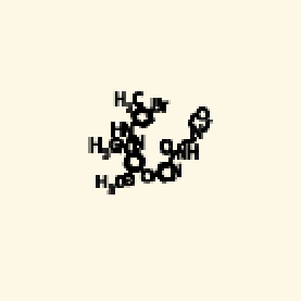 COc1cc2c(cc1Oc1ccnc(C(=O)NCCN3CCOCC3)c1)nc(Nc1ccc(Br)c(C)c1)n2C